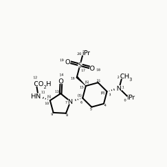 CC(C)N(C)[C@@H]1CC[C@H](N2CC[C@H](NC(=O)O)C2=O)[C@@H](CS(=O)(=O)C(C)C)C1